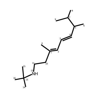 C/C(=C\C=CC(C)C(C)C)CCNC(C)(C)C